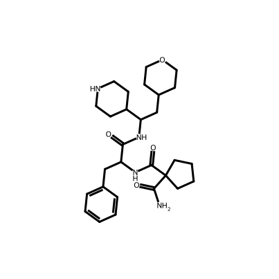 NC(=O)C1(C(=O)NC(Cc2ccccc2)C(=O)NC(CC2CCOCC2)C2CCNCC2)CCCC1